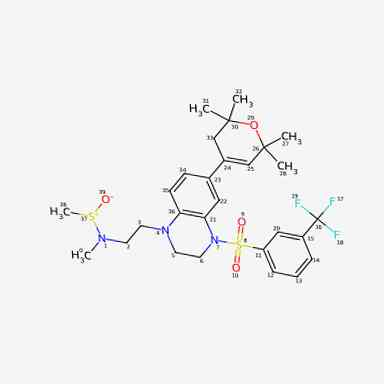 CN(CCN1CCN(S(=O)(=O)c2cccc(C(F)(F)F)c2)c2cc(C3=CC(C)(C)OC(C)(C)C3)ccc21)[S+](C)[O-]